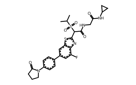 CC(C)S(=O)(=O)C(C(=O)NCC(=O)NC1CC1)c1nc2c(F)cc(-c3ccc(N4CCCC4=O)cc3)cc2s1